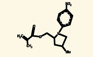 C=C(C)C(=O)OCC1CC(C(C)(C)C)CN1c1ccc([N+](=O)[O-])cc1